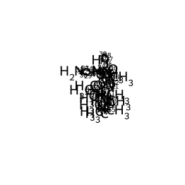 CC[C@H](C)[C@@H](C(CC(=O)N1CCC[C@H]1[C@H](OC)[C@@H](C)C(=O)N[C@H](CC(=O)NCc1ccc(N)cc1)Cc1ccccc1)OC)N(C)C(=O)[C@@H](NC(=O)[C@H](C(C)C)N(C)C)C(C)C